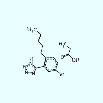 CCC(=O)O.CCCCCc1ccc(Br)cc1-c1nnn[nH]1